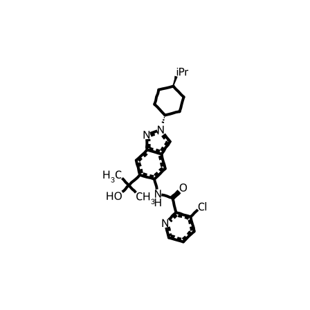 CC(C)[C@H]1CC[C@H](n2cc3cc(NC(=O)c4ncccc4Cl)c(C(C)(C)O)cc3n2)CC1